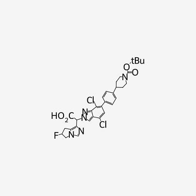 CC(C)(C)OC(=O)N1CCC(c2ccc(-c3cc(Cl)c4cn(C(C(=O)O)c5ncn6c5CC(F)C6)nc4c3Cl)cc2)CC1